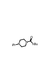 [CH2]CCCC(=O)N1CCN(C(C)C)CC1